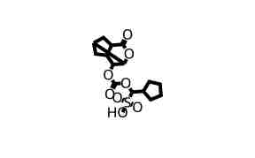 O=C(OC1C2CC3CC2C(=O)OC31)OC(C1CCCC1)S(=O)(=O)O